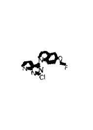 FCCOc1ccc2c(c1)CCCN2c1nc(Cl)nc2ncccc12